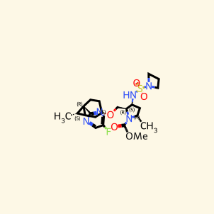 COC(=O)N1[C@H](C)C[C@H](NS(=O)(=O)N2CCC2)[C@@H]1CO[C@H]1CC[C@]2(c3ncc(F)cn3)C(C1)[C@@H]2C